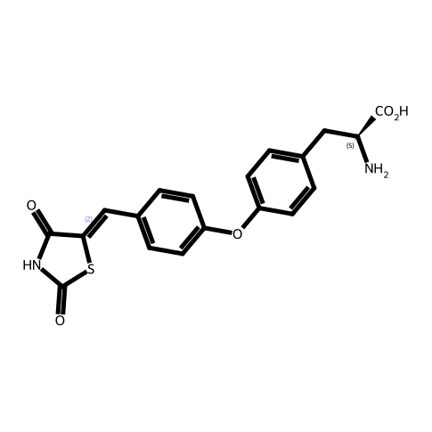 N[C@@H](Cc1ccc(Oc2ccc(/C=C3\SC(=O)NC3=O)cc2)cc1)C(=O)O